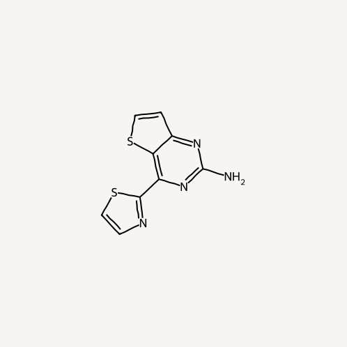 Nc1nc(-c2nccs2)c2sccc2n1